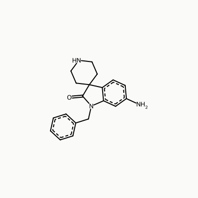 Nc1ccc2c(c1)N(Cc1ccccc1)C(=O)C21CCNCC1